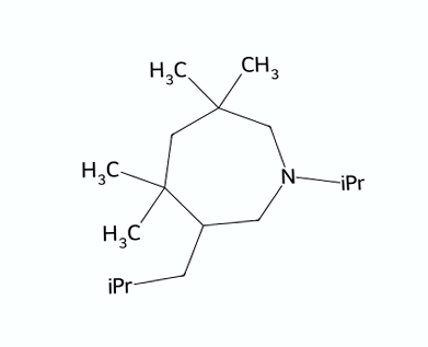 CC(C)CC1CN(C(C)C)CC(C)(C)CC1(C)C